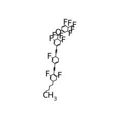 CCCCCC1C=C(F)C(C#CC2=CCC(C#CC3=CC(F)C(C(F)(F)OC4=CC(F)C(C(F)(F)F)C(F)=C4)C(F)=C3)C(F)=C2)=C(F)C1